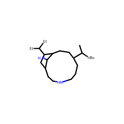 CCCCC(C)C1CCCNCCC2CC(C(CC)CC)C(CC1)C2N